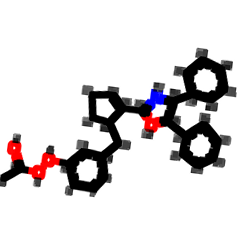 CC(=O)OOc1cccc(CC2CCC=C2c2nc(-c3ccccc3)c(-c3ccccc3)o2)c1